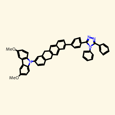 COc1ccc2c(c1)c1cc(OC)ccc1n2-c1ccc2c(c1)Cc1cc3ccc(-c4ccc(-c5nnc(-c6ccccc6)n5-c5ccccc5)cc4)cc3cc1C2